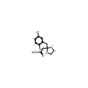 COC(=O)CC1(Cc2cc(Cl)ccc2[N+](=O)[O-])OCCO1